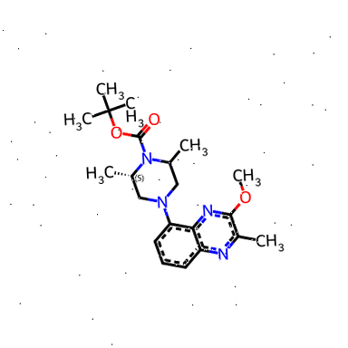 COc1nc2c(N3CC(C)N(C(=O)OC(C)(C)C)[C@@H](C)C3)cccc2nc1C